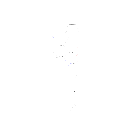 CC(C)(C)OC(=O)NCC(=O)c1nc2ccc(N)c(-c3ccccc3)c2c(=O)o1